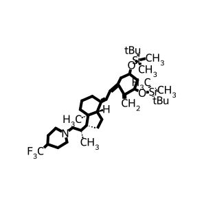 C=C1/C(=C\C=C2/CCC[C@]3(C)[C@@H]([C@H](C)CN4CCC(C(F)(F)F)CC4)CC[C@@H]23)CC(O[Si](C)(C)C(C)(C)C)CC1O[Si](C)(C)C(C)(C)C